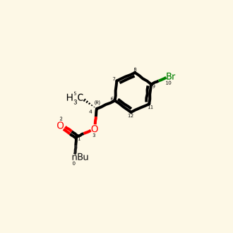 CCCCC(=O)O[C@H](C)c1ccc(Br)cc1